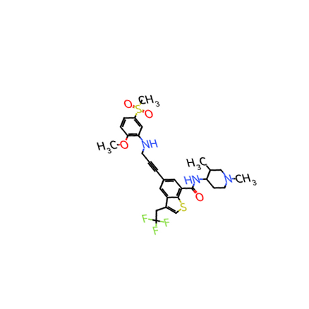 COc1ccc(S(C)(=O)=O)cc1NCC#Cc1cc(C(=O)NC2CCN(C)CC2C)c2scc(CC(F)(F)F)c2c1